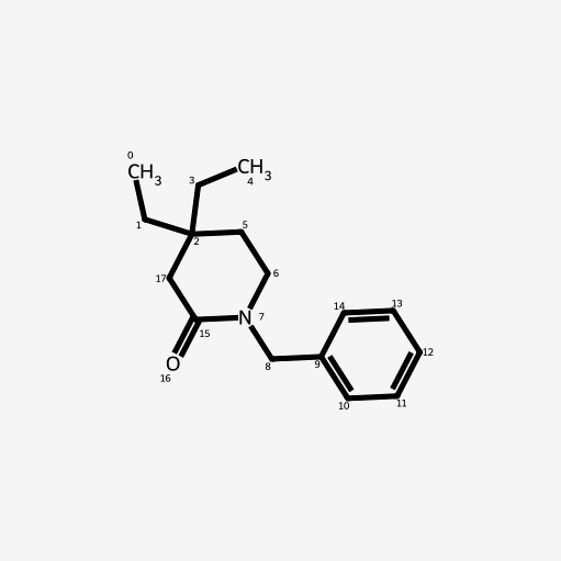 CCC1(CC)CCN(Cc2ccccc2)C(=O)C1